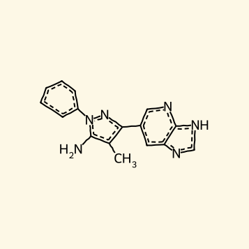 Cc1c(-c2cnc3[nH]cnc3c2)nn(-c2ccccc2)c1N